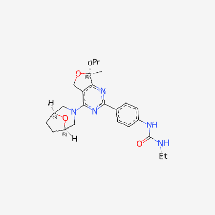 CCC[C@@]1(C)OCc2c(N3C[C@H]4CC[C@@H](C3)O4)nc(-c3ccc(NC(=O)NCC)cc3)nc21